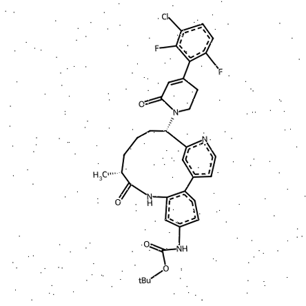 C[C@@H]1CCC[C@H](N2CCC(c3c(F)ccc(Cl)c3F)=CC2=O)c2cc(ccn2)-c2ccc(NC(=O)OC(C)(C)C)cc2NC1=O